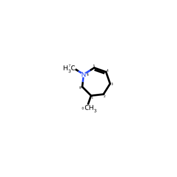 CC1CCC=CN(C)C1